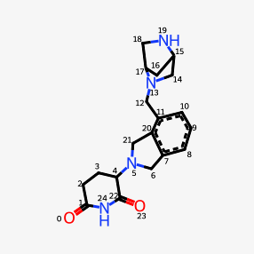 O=C1CCC(N2Cc3cccc(CN4CC5CC4CN5)c3C2)C(=O)N1